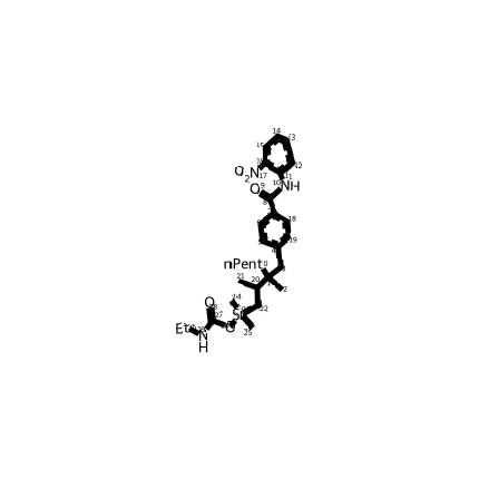 CCCCCC(C)(Cc1ccc(C(=O)Nc2ccccc2[N+](=O)[O-])cc1)C(C)C[Si](C)(C)OC(=O)NCC